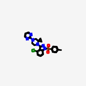 Cc1ccc(S(=O)(=O)n2nc(N3CCN(c4ncccn4)CC34CC4)c3c(Cl)cccc32)cc1